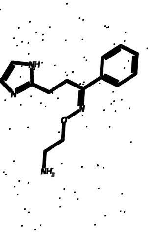 NCCON=C(CCc1ncc[nH]1)c1ccccc1